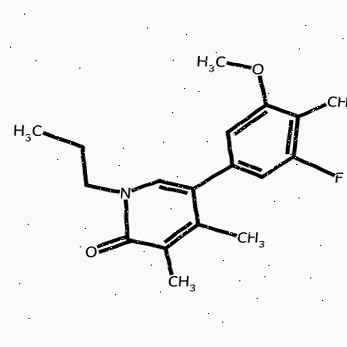 CCCn1cc(-c2cc(F)c(C)c(OC)c2)c(C)c(C)c1=O